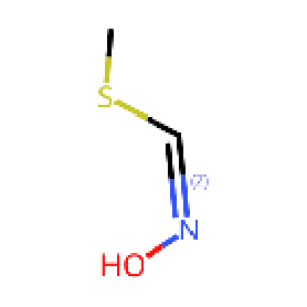 CS/C=N\O